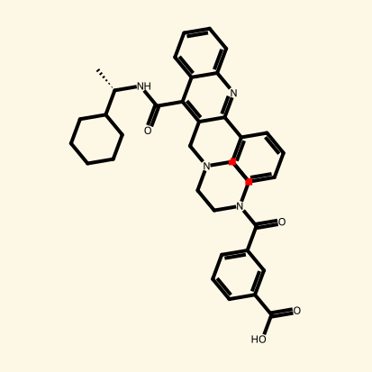 C[C@H](NC(=O)c1c(CN2CCN(C(=O)c3cccc(C(=O)O)c3)CC2)c(-c2ccccc2)nc2ccccc12)C1CCCCC1